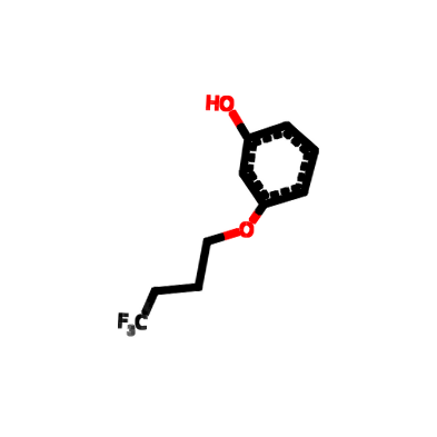 Oc1cccc(OCCCC(F)(F)F)c1